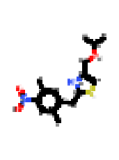 Cc1cc([N+](=O)[O-])c(C)cc1CC1NC(COC(C)C)=CS1